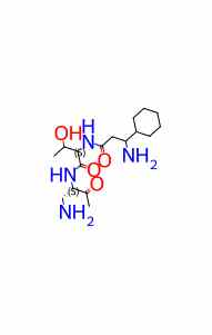 CC(=O)[C@H](CN)NC(=O)[C@@H](NC(=O)CC(N)C1CCCCC1)C(C)O